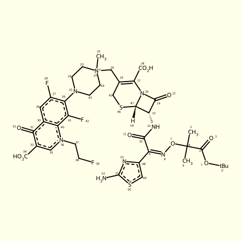 CC(C)(C)OC(=O)C(C)(C)O/N=C(\C(=O)N[C@H]1C(=O)N2C(C(=O)O)=C(C[N+]3(C)CCN(c4c(F)cc5c(=O)c(C(=O)O)cn(CCF)c5c4F)CC3)CS[C@@H]12)c1csc(N)n1